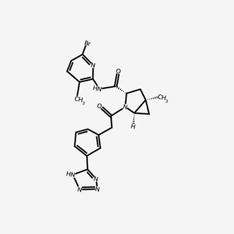 Cc1ccc(Br)nc1NC(=O)[C@@H]1C[C@@]2(C)C[C@H]2N1C(=O)Cc1cccc(-c2nnn[nH]2)c1